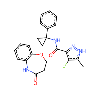 Cc1[nH]nc(C(=O)NC2(c3ccccc3)CC2)c1F.O=C1CCOc2ccccc2N1